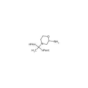 CCCCCCC(C)(CCCCC)N1CCOC(N)C1